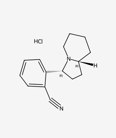 Cl.N#Cc1ccccc1[C@H]1CC[C@H]2CCCCN21